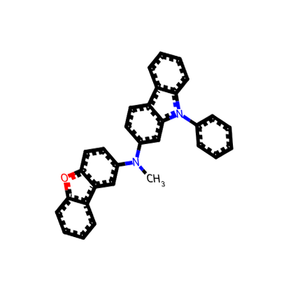 CN(c1ccc2oc3ccccc3c2c1)c1ccc2c3ccccc3n(-c3ccccc3)c2c1